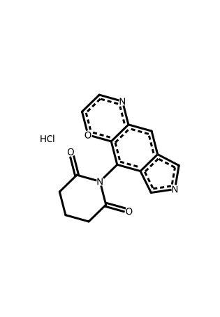 Cl.O=C1CCCC(=O)N1c1c2cncc2cc2nccoc12